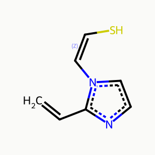 C=Cc1nccn1/C=C\S